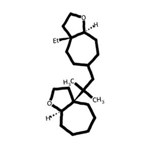 CC[C@@]12CCO[C@H]1CCC(CC(C)(C)[C@@]13CCCCC[C@H]1OCC3)CC2